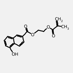 C=C(C)C(=O)OCCOC(=O)c1ccc2c(O)cccc2c1